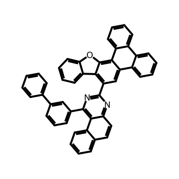 c1ccc(-c2cccc(-c3nc(-c4cc5c6ccccc6c6ccccc6c5c5oc6ccccc6c45)nc4ccc5ccccc5c34)c2)cc1